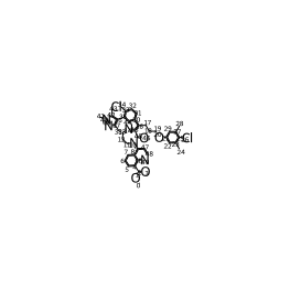 COC(=O)c1cccc2c(N3CCCn4c(c(CCCOc5cc(C)c(Cl)c(C)c5)c5ccc(Cl)c(-c6c(C)nn(C)c6C)c54)C3=O)ccnc12